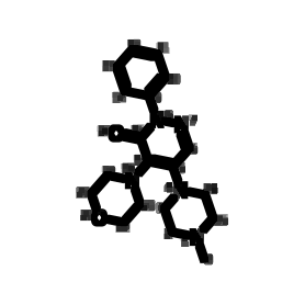 CN1CCN(c2cnn(-c3ccccc3)c(=O)c2N2CCOCC2)CC1